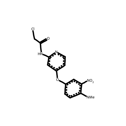 CNc1ccc(Oc2ccnc(NC(=O)CCl)c2)cc1[N+](=O)[O-]